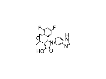 CC(=O)C1=C(O)C(=O)N(c2ccc3[nH]cnc3c2)C1c1cc(F)cc(F)c1F